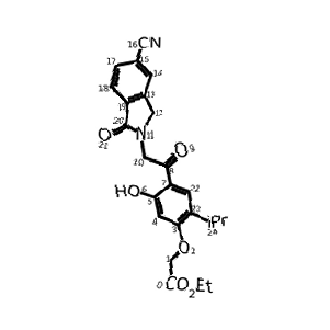 CCOC(=O)COc1cc(O)c(C(=O)CN2Cc3cc(C#N)ccc3C2=O)cc1C(C)C